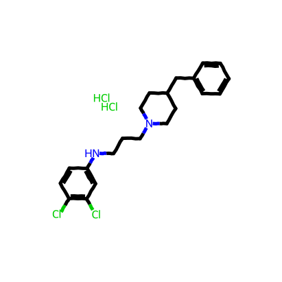 Cl.Cl.Clc1ccc(NCCCN2CCC(Cc3ccccc3)CC2)cc1Cl